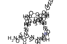 CO/C(C)=C1/NC(=O)[C@H]([C@@H](C)O)NC(=O)c2csc(n2)-c2cc(O)c(-c3nc(C(N)=O)cs3)nc2-c2csc(n2)[C@@H]2COC(=O)c3[nH]c4cccc5c4c3COC([C@H](O[C@H]3C[C@]4(C)OC(c6ccc(N7CCOCC7)nc6)N(C)[C@@H]4[C@H](C)O3)C(=O)OC5)[C@H](NC(=O)c3csc1n3)c1nc(cs1)C(=O)N2